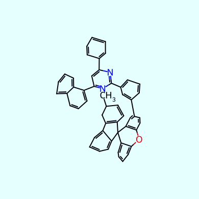 CC1C=CC2=C(C1)c1ccccc1C21c2ccccc2Oc2ccc(-c3cccc(-c4nc(-c5ccccc5)cc(-c5cccc6ccccc56)n4)c3)cc21